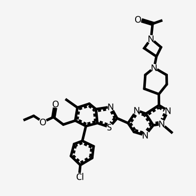 CCOC(=O)Cc1c(C)cc2nc(-c3cnc4c(n3)c(C3CCN(C5CN(C(C)=O)C5)CC3)nn4C)sc2c1-c1ccc(Cl)cc1